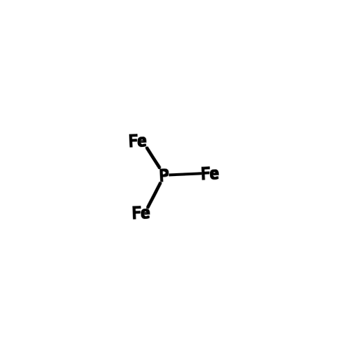 [Fe][P]([Fe])[Fe]